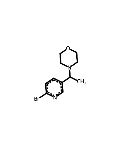 CC(c1ccc(Br)nc1)N1CCOCC1